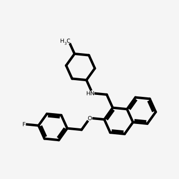 CC1CCC(NCc2c(OCc3ccc(F)cc3)ccc3ccccc23)CC1